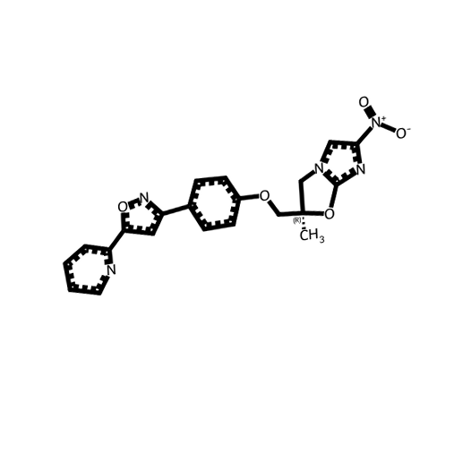 C[C@]1(COc2ccc(-c3cc(-c4ccccn4)on3)cc2)Cn2cc([N+](=O)[O-])nc2O1